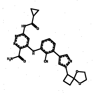 N#Cc1c(Nc2cc(NC(=O)C3CC3)nnc2C(N)=O)cccc1-c1cnn(C2CCC23OCCO3)c1